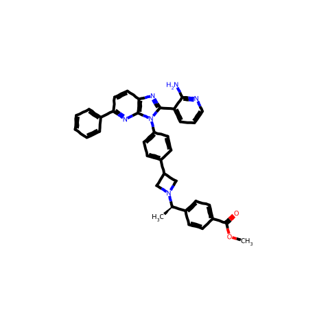 COC(=O)c1ccc([C@@H](C)N2CC(c3ccc(-n4c(-c5cccnc5N)nc5ccc(-c6ccccc6)nc54)cc3)C2)cc1